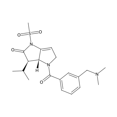 CC(C)[C@H]1C(=O)N(S(C)(=O)=O)C2=CCN(C(=O)c3cccc(CN(C)C)c3)[C@@H]21